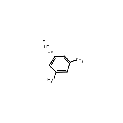 Cc1cccc(C)c1.F.F.F